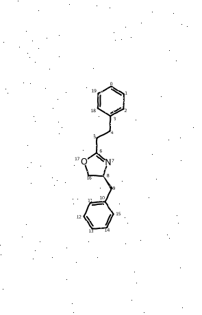 c1ccc(CCC2=N[C@@H](Cc3ccccc3)CO2)cc1